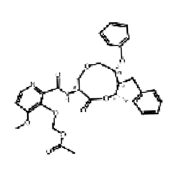 COc1ccnc(C(=O)N[C@H]2COC[C@H](Oc3ccccc3)[C@@H](Cc3ccccc3)[C@H](C)OC2=O)c1OCOC(C)=O